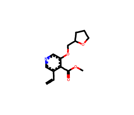 C=Cc1cncc(OCC2CCCO2)c1C(=O)OC